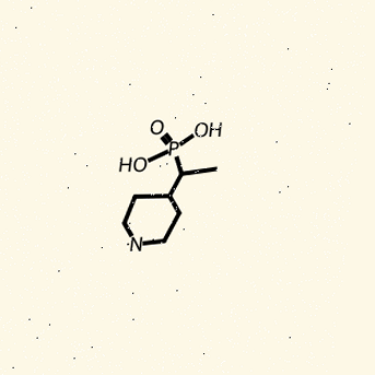 CC(C1CC[N]CC1)P(=O)(O)O